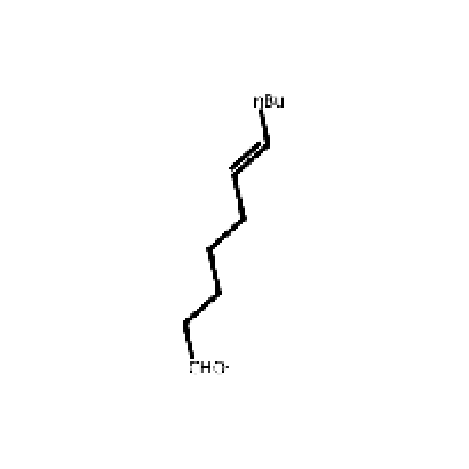 CCCCC=CCCCC[C]=O